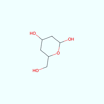 OCC1CC(O)CC(O)O1